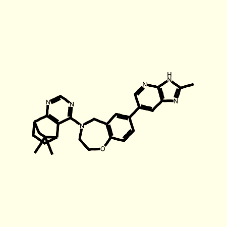 Cc1nc2cc(-c3ccc4c(c3)CN(c3ncnc5c3C3CCC5CC3(C)C)CCO4)cnc2[nH]1